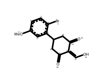 COc1ccc(Br)c(C2CC(=O)C(=CO)C(=O)C2)c1